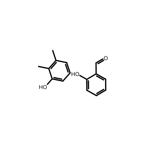 Cc1cccc(O)c1C.O=Cc1ccccc1O